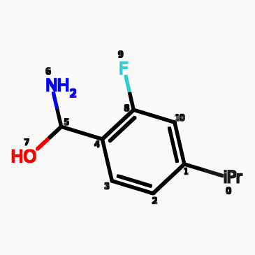 CC(C)c1ccc(C(N)O)c(F)c1